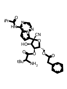 CC(C)C(=O)Nc1ncnn2c([C@]3(C#N)O[C@H](COC(=O)Cc4ccccc4)[C@@H](OC(=O)C(N)C(C)(C)C)[C@H]3O)ccc12